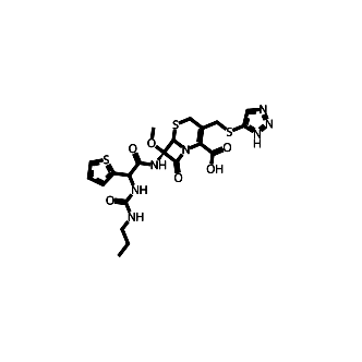 CCCNC(=O)NC(C(=O)N[C@]1(OC)C(=O)N2C(C(=O)O)=C(CSc3cnn[nH]3)CSC21)c1cccs1